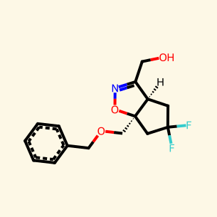 OCC1=NO[C@]2(COCc3ccccc3)CC(F)(F)C[C@H]12